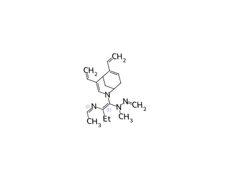 C=CC1=CCC2CC1C(C=C)=CN2/C(=C(CC)\N=C/C)N(C)N=C